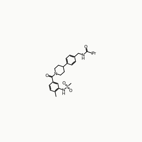 Cc1ccc(C(=O)N2CCC(c3ccc(CNC(=O)C(C)C)cc3)CC2)cc1NS(C)(=O)=O